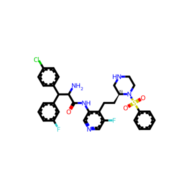 NC(C(=O)Nc1cncc(F)c1CC[C@H]1CNCCN1S(=O)(=O)c1ccccc1)C(c1ccc(Cl)cc1)c1cccc(F)c1